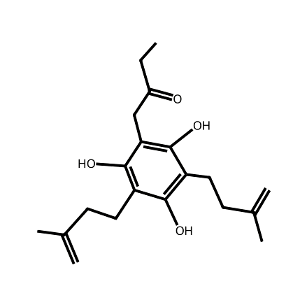 C=C(C)CCc1c(O)c(CCC(=C)C)c(O)c(CC(=O)CC)c1O